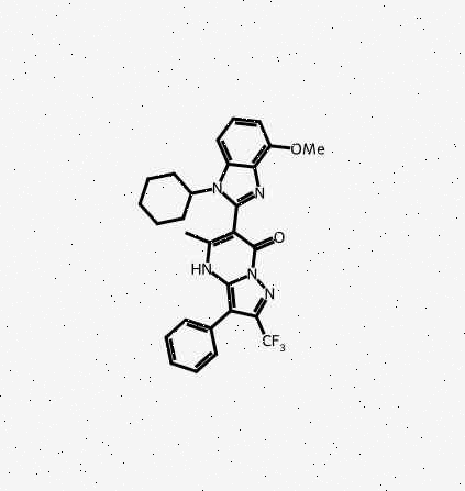 COc1cccc2c1nc(-c1c(C)[nH]c3c(-c4ccccc4)c(C(F)(F)F)nn3c1=O)n2C1CCCCC1